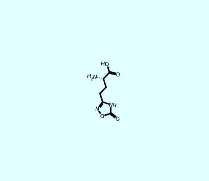 N[C@@H](CCc1noc(=O)[nH]1)C(=O)O